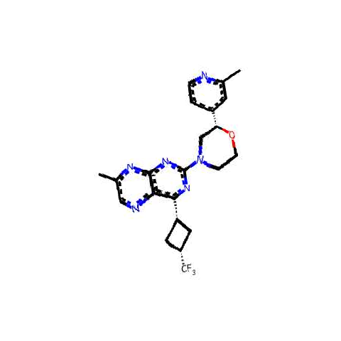 Cc1cc([C@H]2CN(c3nc4nc(C)cnc4c([C@H]4C[C@@H](C(F)(F)F)C4)n3)CCO2)ccn1